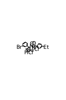 CCc1ccc(C(=O)[N+](Cl)(N(Cl)C(=O)c2cccc(Br)c2)C(C)(C)C)cc1.Cl